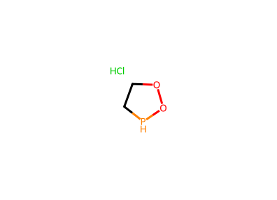 C1CPOO1.Cl